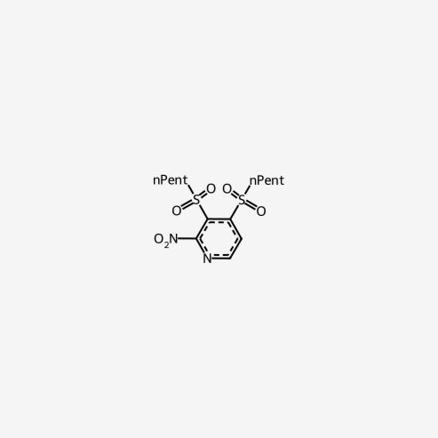 CCCCCS(=O)(=O)c1ccnc([N+](=O)[O-])c1S(=O)(=O)CCCCC